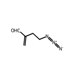 C=C(C=O)CCN=[N+]=[N-]